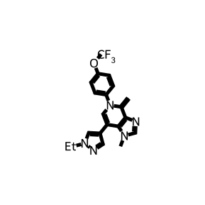 C=C1c2ncn(C)c2C(c2cnn(CC)c2)=CN1c1ccc(OC(F)(F)F)cc1